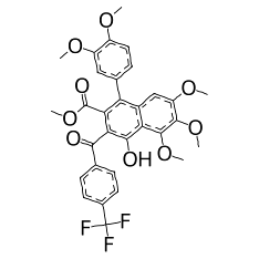 COC(=O)c1c(C(=O)c2ccc(C(F)(F)F)cc2)c(O)c2c(OC)c(OC)c(OC)cc2c1-c1ccc(OC)c(OC)c1